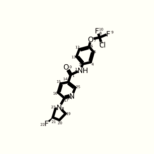 O=C(Nc1ccc(OC(F)(F)Cl)cc1)c1ccc(N2CC[C@@H](F)C2)nc1